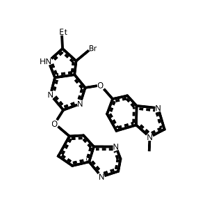 CCc1[nH]c2nc(Oc3ccc4nccnc4c3)nc(Oc3ccc4c(c3)ncn4C)c2c1Br